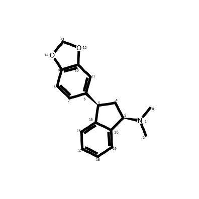 CN(C)[C@@H]1C[C@H](c2ccc3c(c2)OCO3)c2ccccc21